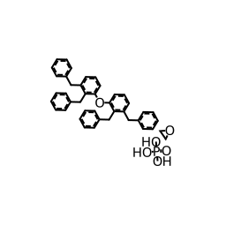 C1CO1.O=P(O)(O)O.c1ccc(Cc2cccc(Oc3cccc(Cc4ccccc4)c3Cc3ccccc3)c2Cc2ccccc2)cc1